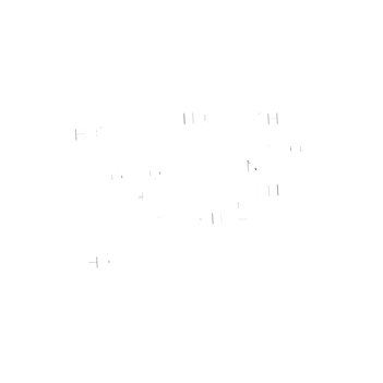 CCO[Si](OCC)(OCC)OCCC(CC)(CC)N(C)C(=O)O